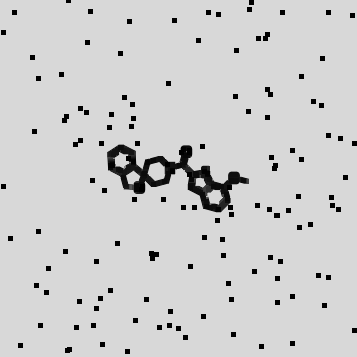 COc1cccc2cc(C(=O)N3CCC4(CC3)OCc3ccccc34)sc12